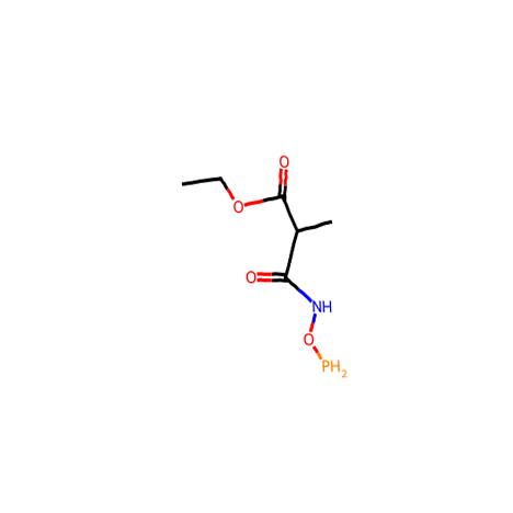 CCOC(=O)C(C)C(=O)NOP